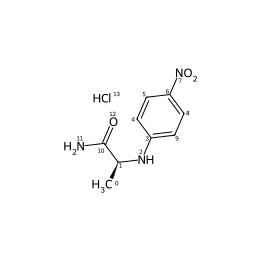 C[C@H](Nc1ccc([N+](=O)[O-])cc1)C(N)=O.Cl